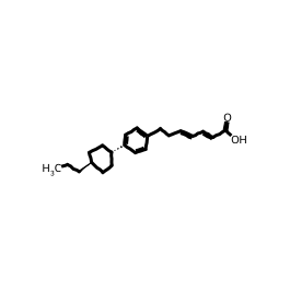 CCC[C@H]1CC[C@H](c2ccc(CC/C=C/C=C/C(=O)O)cc2)CC1